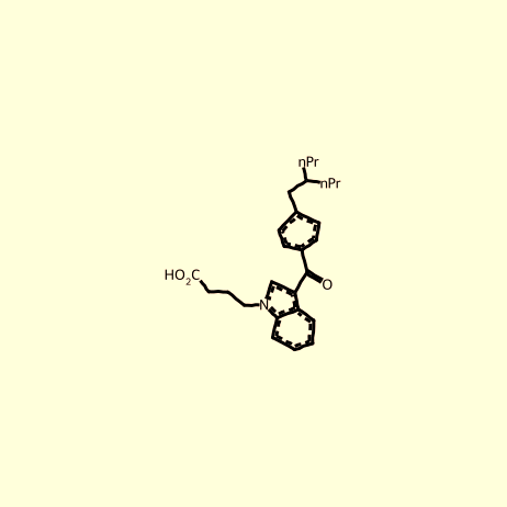 CCCC(CCC)Cc1ccc(C(=O)c2cn(CCCC(=O)O)c3ccccc23)cc1